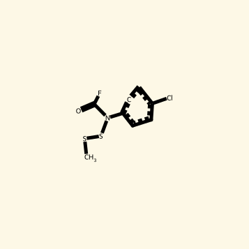 CSSN(C(=O)F)c1ccc(Cl)cc1